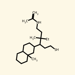 C=C(C)NCCC(C)(CC)C(CCS)C1CCC2CCCCC2(C)C1